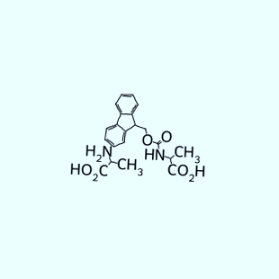 CC(N)C(=O)O.CC(NC(=O)OCC1c2ccccc2-c2ccccc21)C(=O)O